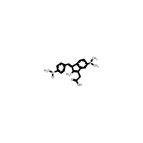 CC1=C(CC(=O)O)c2cc(N(C)C)ccc2C1=Cc1ccc([S+](C)[O-])cc1